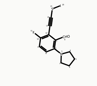 O=Cc1c(N2CCCC2)ccc(F)c1C#CSI